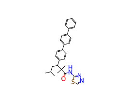 CC(C)CC(c1ccc(-c2ccc(-c3ccccc3)cc2)cc1)C(C)(C)C(=O)Nc1nncs1